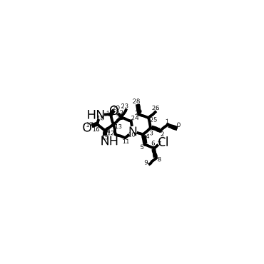 C=C/C=C(/C(=C\C(Cl)=C/C)N1CCC2(C(=N)C(=O)NC2=O)C(C)(C)C1)C(C)C=C